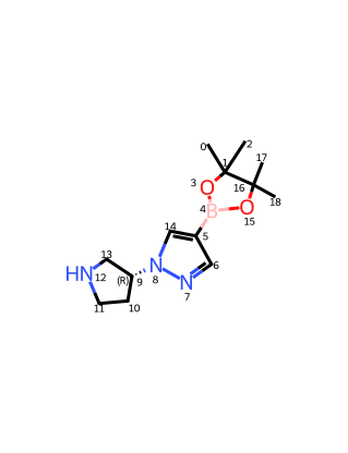 CC1(C)OB(c2cnn([C@@H]3CCNC3)c2)OC1(C)C